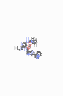 Cc1ncc(NC(=O)CN2C[C@@H]3CC[C@H]2C3)cc1NC(=O)c1cnn2cc(-c3cnn4c3CCCC4)ncc12